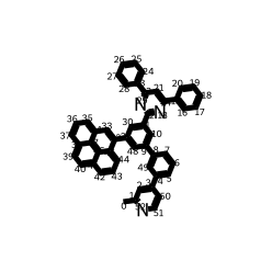 Cc1cc(-c2cccc(-c3cc(-c4nc(-c5ccccc5)cc(-c5ccccc5)n4)cc(-c4cc5cccc6ccc7cccc4c7c65)c3)c2)ccn1